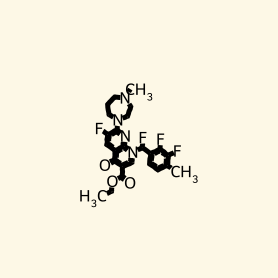 CCOC(=O)c1cn(C(F)c2ccc(C)c(F)c2F)c2nc(N3CCCN(C)CC3)c(F)cc2c1=O